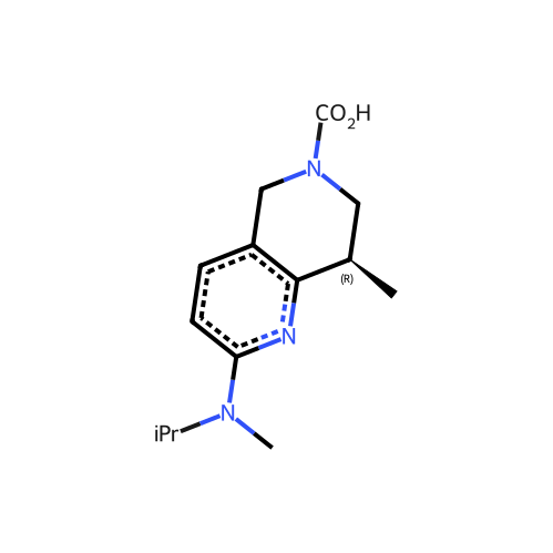 CC(C)N(C)c1ccc2c(n1)[C@H](C)CN(C(=O)O)C2